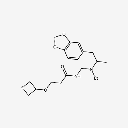 CCN(CNC(=O)CCOC1CSC1)C(C)Cc1ccc2c(c1)OCO2